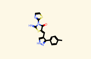 Cc1ccc(-c2n[nH]cc2/C=C2\SC(=N)N(c3nccs3)C2=O)cc1